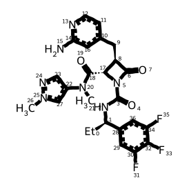 CC[C@@H](NC(=O)N1C(=O)[C@H](Cc2ccnc(N)c2)[C@H]1C(=O)N(C)c1cnn(C)c1)c1cc(F)c(F)c(F)c1